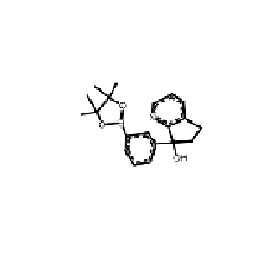 CC1(C)OB(c2cccc(C3(O)CCc4cccnc43)c2)OC1(C)C